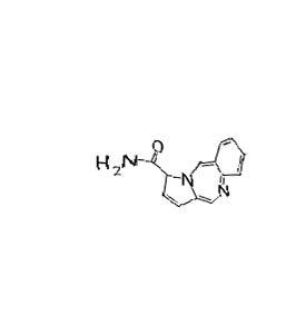 NC(=O)C1C=CC2=CN=c3ccccc3=CN21